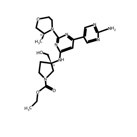 CCOC(=O)N1CC[C@](CO)(Nc2cc(-c3cnc(N)nc3)nc(N3CCOC[C@@H]3C)n2)C1